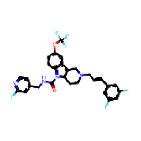 O=C(NCc1ccnc(F)c1)n1c2c(c3cc(OC(F)(F)F)ccc31)CN(CC=Cc1cc(F)cc(F)c1)CC2